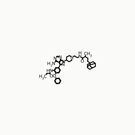 C=CC(=O)Nc1cc(-c2nn(C3CCN(CCNC(=O)C(C)CCC45CC6CC(CC(C6)C4)C5)CC3)c3ncnc(N)c23)ccc1Oc1ccccc1